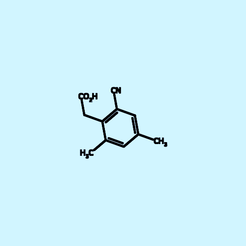 Cc1cc(C)c(CC(=O)O)c(C#N)c1